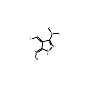 CC/C=C1\C(=NO)NN=C1N(C)C